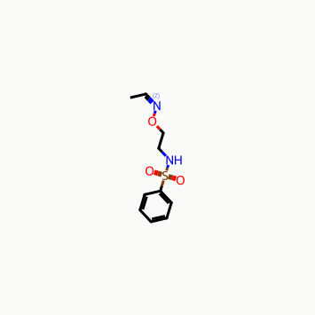 C/C=N\OCCNS(=O)(=O)c1ccccc1